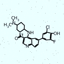 CCC(=O)c1cnc2ccc(-c3cc(F)c(O)c(Cl)c3)cc2c1NC1CCC(N(C)C)CC1